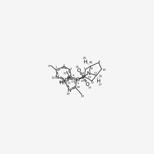 Cc1ccc(O[C@H]2C[C@H]3CC[C@@H](C2)N3S(=O)(=O)c2c(C)n[nH]c2C)nn1